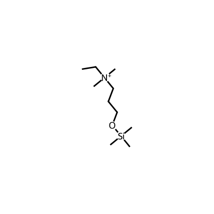 CC[N+](C)(C)CCCO[Si](C)(C)C